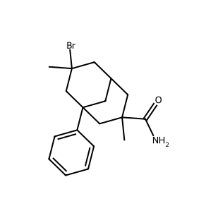 CC1(Br)CC2CC(C)(C(N)=O)CC(c3ccccc3)(C2)C1